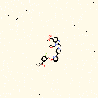 CC(=O)c1ccc(F)c(COc2cccc(C3CCN(Cc4nc5ccc(C(=O)O)cc5n4C[C@@H]4CCO4)CC3)n2)c1